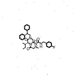 CCC(C)[C@H]1C(=O)N(CC(c2ccccc2)c2ccccc2)C[C@H]2N1C(=O)CN(C)N2C(=O)NCc1ccc(F)cc1